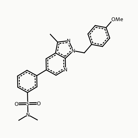 COc1ccc(Cn2nc(C)c3cc(-c4cccc(S(=O)(=O)N(C)C)c4)cnc32)cc1